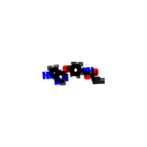 CC(C)(C)C(=O)ONc1ccc(Oc2ncnc3[nH]ccc23)cc1